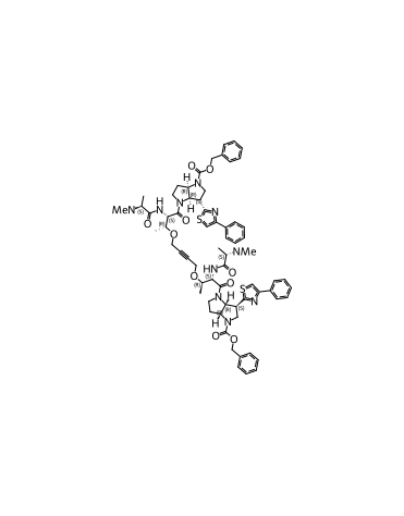 CN[C@@H](C)C(=O)N[C@H](C(=O)N1CC[C@@H]2[C@H]1[C@@H](c1nc(-c3ccccc3)cs1)CN2C(=O)OCc1ccccc1)[C@@H](C)OCC#CCO[C@H](C)[C@H](NC(=O)[C@H](C)NC)C(=O)N1CC[C@@H]2[C@H]1[C@@H](c1nc(-c3ccccc3)cs1)CN2C(=O)OCc1ccccc1